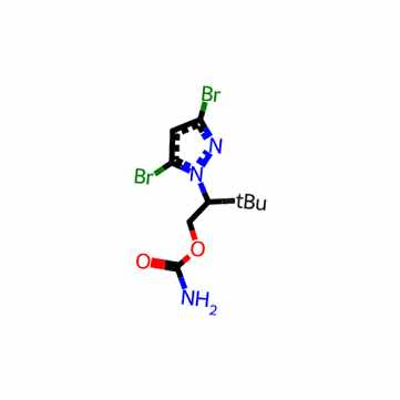 CC(C)(C)C(COC(N)=O)n1nc(Br)cc1Br